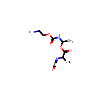 CC(NC(=O)OCCN)OC(=O)C(C)N=C=O